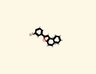 Brc1cccc(-c2cc3c(ccc4ccccc43)o2)c1